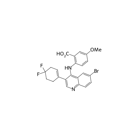 COc1ccc(Nc2c(C3=CCC(F)(F)CC3)cnc3ccc(Br)cc23)c(C(=O)O)c1